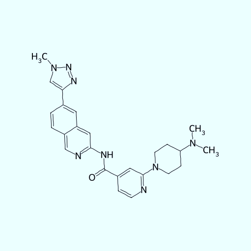 CN(C)C1CCN(c2cc(C(=O)Nc3cc4cc(-c5cn(C)nn5)ccc4cn3)ccn2)CC1